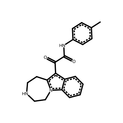 Cc1ccc(NC(=O)C(=O)c2c3n(c4ccccc24)CCNCC3)cc1